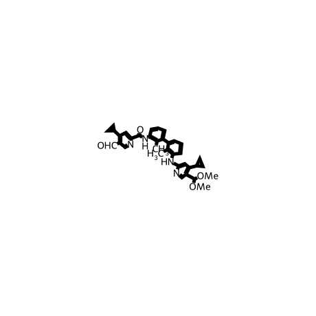 COC(OC)c1cnc(Nc2cccc(-c3cccc(NC(=O)c4cc(C5CC5)c(C=O)cn4)c3C)c2C)cc1C1CC1